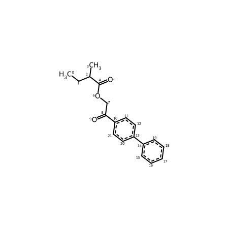 CCC(C)C(=O)OCC(=O)c1ccc(-c2ccccc2)cc1